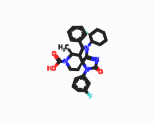 C[C@H]1C(Cc2ccccc2)[C@]2(CCN1C(=O)O)C(N[C@@H]1CCCC[C@H]1F)=NC(=O)N2c1cccc(F)c1